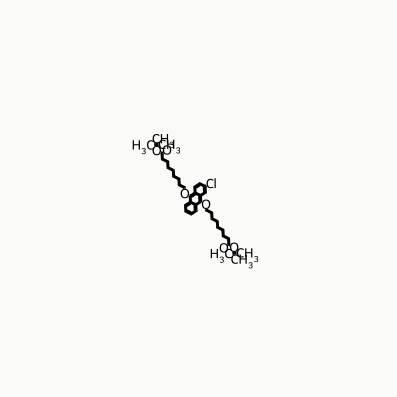 CC(C)(C)OC(=O)CCCCCCCCOc1c2ccccc2c(OCCCCCCCCC(=O)OC(C)(C)C)c2cc(Cl)ccc12